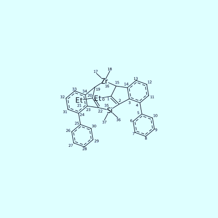 CCC1=C2c3c(-c4ccccc4)cccc3[CH]1[Zr]([CH3])([CH3])[CH]1C(CC)=C(c3c(-c4ccccc4)cccc31)[Si]2(C)C